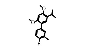 COc1cc(OC)c(C(C)C)cc1-c1ccc(F)c(C)c1